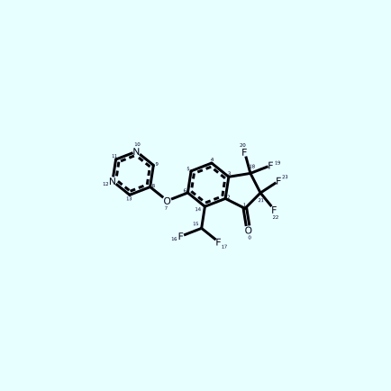 O=C1c2c(ccc(Oc3cncnc3)c2C(F)F)C(F)(F)C1(F)F